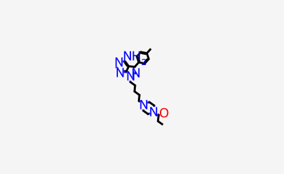 CCC(=O)N1CCN(CCCCCn2nc(-c3ccc(C)cc3)c3c(N)ncnc32)CC1